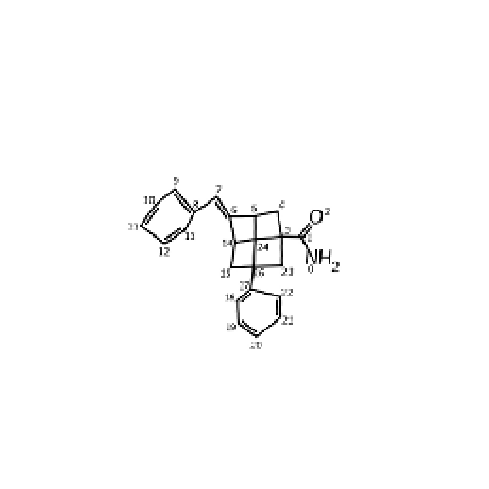 NC(=O)C12CC3/C(=C/c4ccccc4)C4CC(c5ccccc5)(C1)C342